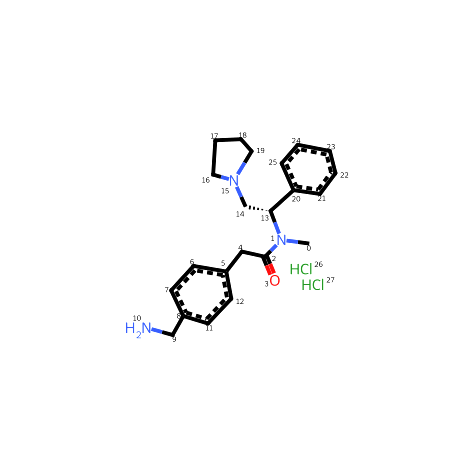 CN(C(=O)Cc1ccc(CN)cc1)[C@H](CN1CCCC1)c1ccccc1.Cl.Cl